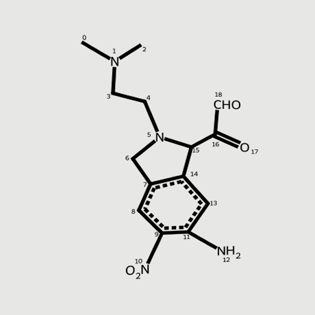 CN(C)CCN1Cc2cc([N+](=O)[O-])c(N)cc2C1C(=O)C=O